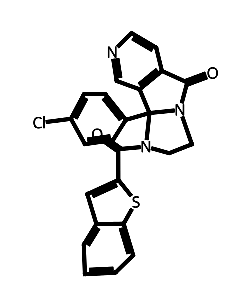 O=C(c1cc2ccccc2s1)N1CCN2C(=O)c3ccncc3C12c1ccc(Cl)cc1